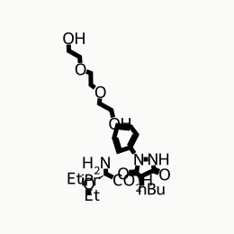 CC(C)[C@H](N)C(=O)O.CCCCC1C(=O)NN(c2ccccc2)C1=O.CCOCC.OCCOCCOCCO